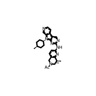 CC(=O)N1Cc2ccc(Nc3ncc4c5ccncc5n([C@H]5CC[C@H](C)CC5)c4n3)nc2[C@@H](C)C1